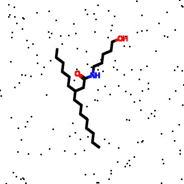 CCCCCCCCC(CCCCCC)CC(=O)NCCCCCO